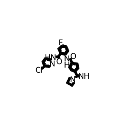 N=C(c1ccc(C(=O)Nc2ccc(F)cc2C(=O)Nc2ccc(Cl)cn2)cc1)N1CCCC1